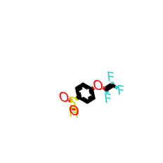 O=[SH](=O)c1ccc(OC(F)=C(F)F)cc1